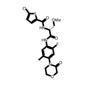 COC[C@@H](NC(=O)c1ccc(Cl)s1)C(=O)Nc1cc(C)c(N2CCOCC2=O)cc1F